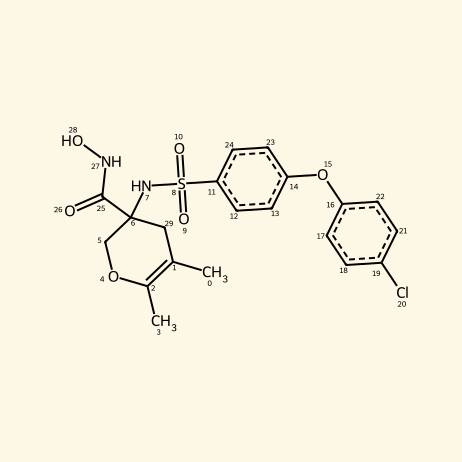 CC1=C(C)OCC(NS(=O)(=O)c2ccc(Oc3ccc(Cl)cc3)cc2)(C(=O)NO)C1